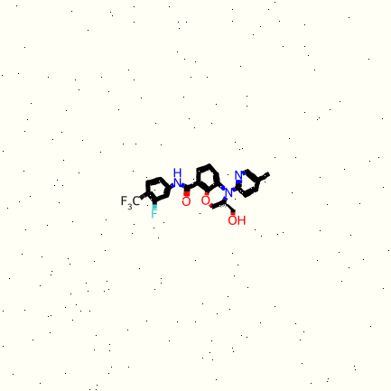 Cc1ccc(N2c3cccc(C(=O)Nc4ccc(C(F)(F)F)c(F)c4)c3OC[C@@H]2CO)nc1